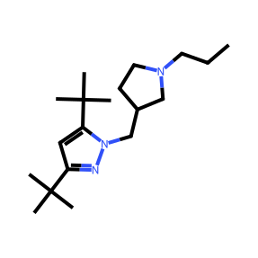 CCCN1CCC(Cn2nc(C(C)(C)C)cc2C(C)(C)C)C1